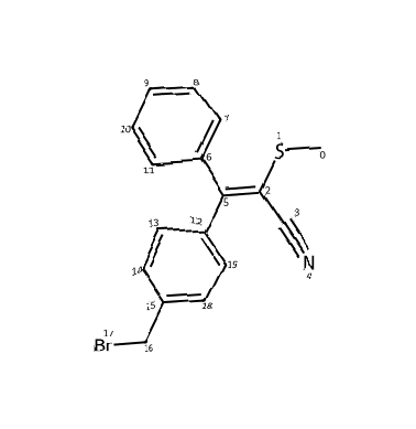 CSC(C#N)=C(c1ccccc1)c1ccc(CBr)cc1